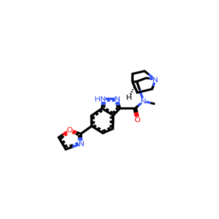 CN(C(=O)c1n[nH]c2cc(-c3ncco3)ccc12)[C@@H]1CN2CCC1CC2